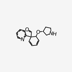 O=CC1(c2ccccn2)C=CC=CC1O[C@H]1CCNC1